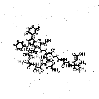 CC(=O)N[C@@H](C)C(=O)N[C@@H](C)C(=O)N[C@@H](CC(N)=O)C(=O)N[C@@H](CCN(C(=O)CO)[C@@H](c1cc(-c2cc(F)ccc2F)cn1Cc1ccccc1)C(C)(C)C)C(=O)NCCNC(=O)CNC(C)(CCC(=O)O)C(C)C